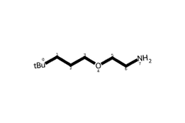 CC(C)(C)CCCOCCN